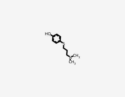 CN(C)CCCSc1ccc(O)cc1